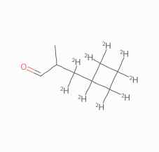 [2H]C([2H])(C(C)C=O)C1([2H])C([2H])([2H])C([2H])([2H])C1([2H])[2H]